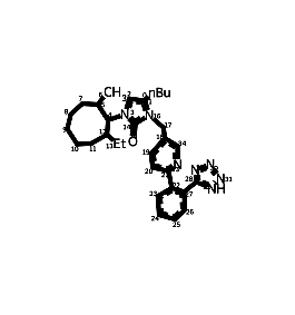 CCCCc1cn(C2C(C)CCCCCC2CC)c(=O)n1Cc1ccc(-c2ccccc2-c2nnn[nH]2)nc1